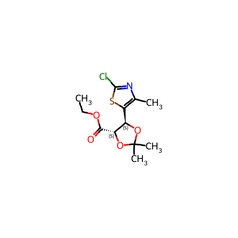 CCOC(=O)[C@H]1OC(C)(C)O[C@@H]1c1sc(Cl)nc1C